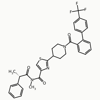 C[C@H](C(=O)N(C)C(=O)c1csc(C2CCN(C(=O)c3ccccc3-c3ccc(C(F)(F)F)cc3)CC2)n1)c1ccccc1